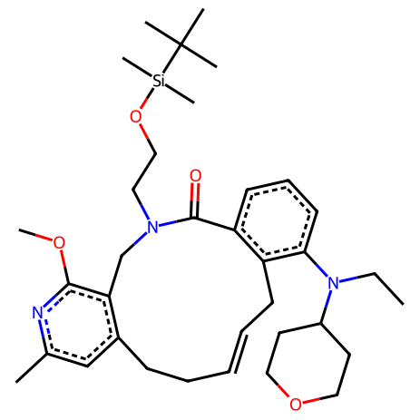 CCN(c1cccc2c1C/C=C/CCc1cc(C)nc(OC)c1CN(CCO[Si](C)(C)C(C)(C)C)C2=O)C1CCOCC1